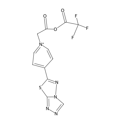 O=C(C[n+]1ccc(-c2nn3cnnc3s2)cc1)OC(=O)C(F)(F)F